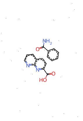 NC(=O)c1ccccc1.O=C(O)c1ccc2cccnc2n1